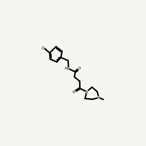 CN1CCN(C(=O)CCC(=O)NCc2ccc(Cl)cc2)CC1